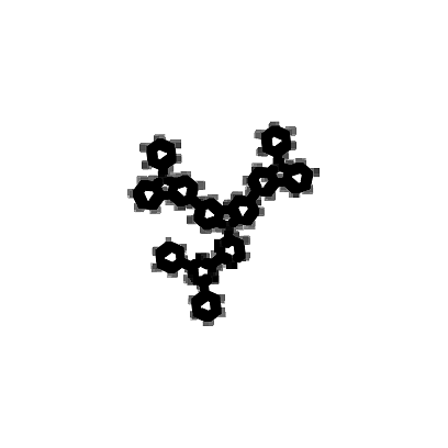 C1=CCC(c2nc(-c3ccccc3)nc(-c3nccc(-n4c5ccc(-c6ccc7c(c6)c6ccccc6n7-c6ccccc6)cc5c5cc(-c6ccc7c(c6)c6ccccc6n7-c6ccccc6)ccc54)n3)n2)C=C1